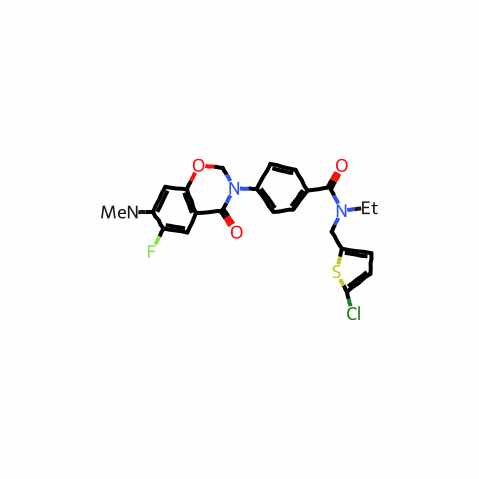 CCN(Cc1ccc(Cl)s1)C(=O)c1ccc(N2COc3cc(NC)c(F)cc3C2=O)cc1